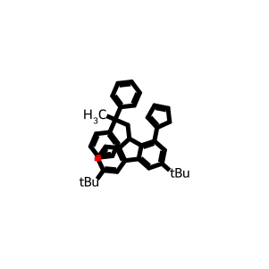 CC(C)(C)c1ccc2c(c1)-c1cc(C(C)(C)C)cc(C3=CC=CC3)c1C2CC(C)(c1ccccc1)c1ccccc1